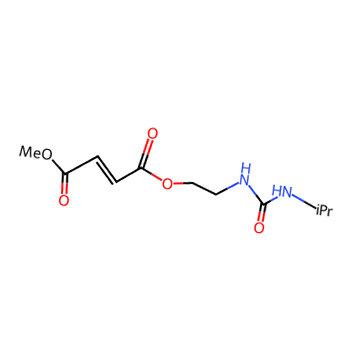 COC(=O)/C=C/C(=O)OCCNC(=O)NC(C)C